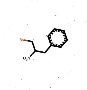 O=[N+]([O-])C(CBr)Cc1ccccc1